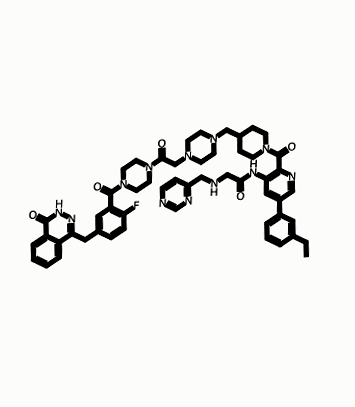 CCc1cccc(-c2cnc(C(=O)N3CCC(CN4CCN(CC(=O)N5CCN(C(=O)c6cc(Cc7n[nH]c(=O)c8ccccc78)ccc6F)CC5)CC4)CC3)c(NC(=O)CNCc3ccncn3)c2)c1